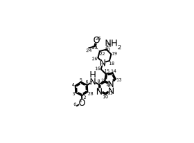 COc1cccc(Nc2ncnn3ccc(CN4CC[C@@H](N)[C@@H](C(C)=O)C4)c23)c1